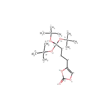 C[Si](C)(C)O[Si](CCCc1coc(=O)o1)(O[Si](C)(C)C)O[Si](C)(C)C